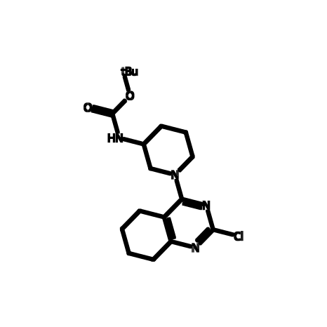 CC(C)(C)OC(=O)NC1CCCN(c2nc(Cl)nc3c2CCCC3)C1